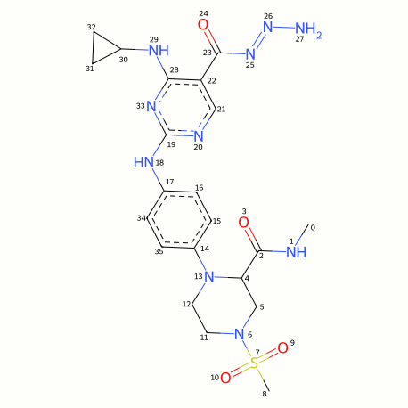 CNC(=O)C1CN(S(C)(=O)=O)CCN1c1ccc(Nc2ncc(C(=O)N=NN)c(NC3CC3)n2)cc1